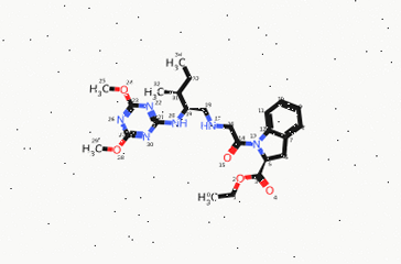 CCOC(=O)[C@@H]1Cc2ccccc2N1C(=O)CNC[C@@H](Nc1nc(OC)nc(OC)n1)[C@@H](C)CC